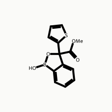 COC(=O)C1(c2cccs2)OB(O)c2ccccc21